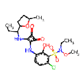 CCC(Nc1c(Nc2ccc(Cl)c(S(=O)(=O)N(CC)OC)c2O)c(=O)c1=O)C1CCC(C)O1